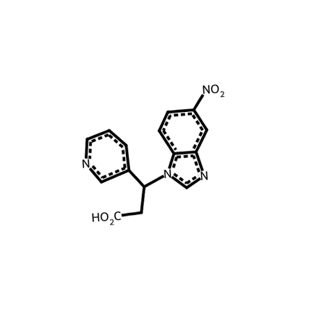 O=C(O)CC(c1cccnc1)n1cnc2cc([N+](=O)[O-])ccc21